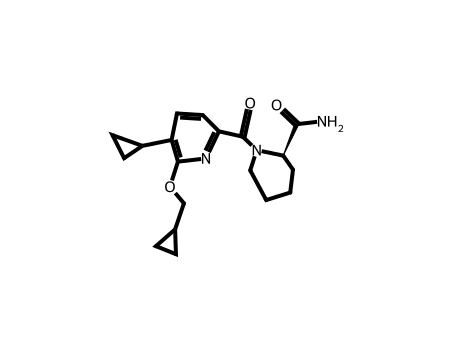 NC(=O)[C@H]1CCCCN1C(=O)c1ccc(C2CC2)c(OCC2CC2)n1